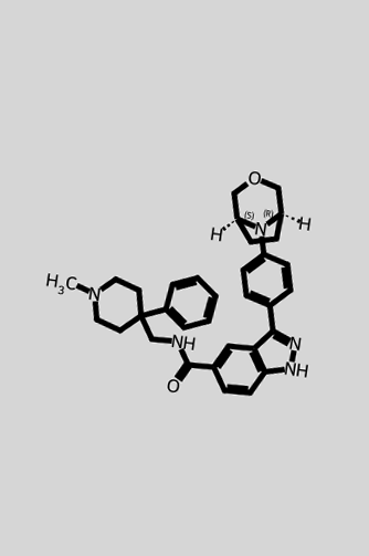 CN1CCC(CNC(=O)c2ccc3[nH]nc(-c4ccc(N5[C@@H]6CC[C@H]5COC6)cc4)c3c2)(c2ccccc2)CC1